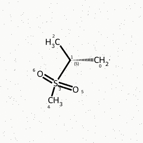 [CH2][C@@H](C)S(C)(=O)=O